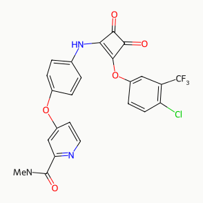 CNC(=O)c1cc(Oc2ccc(Nc3c(Oc4ccc(Cl)c(C(F)(F)F)c4)c(=O)c3=O)cc2)ccn1